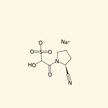 N#C[C@@H]1CCCN1C(=O)C(O)S(=O)(=O)[O-].[Na+]